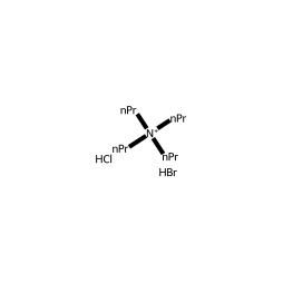 Br.CCC[N+](CCC)(CCC)CCC.Cl